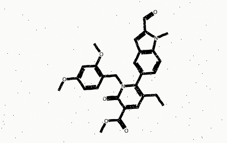 CCc1cc(C(=O)OC)c(=O)n(Cc2ccc(OC)cc2OC)c1-c1ccc2c(c1)cc(C=O)n2C